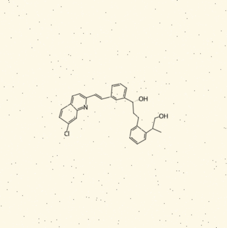 CC(CO)c1ccccc1CC[C@@H](O)c1cccc(C=Cc2ccc3ccc(Cl)cc3n2)c1